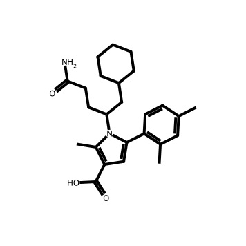 Cc1ccc(-c2cc(C(=O)O)c(C)n2C(CCC(N)=O)CC2CCCCC2)c(C)c1